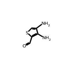 Nc1csc(C=O)c1N